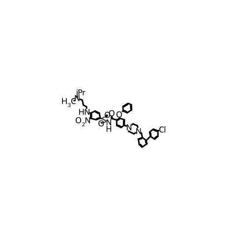 CC(C)N(C)CCCNc1ccc(S(=O)(=O)NC(=O)c2ccc(N3CCN(Cc4ccccc4-c4ccc(Cl)cc4)CC3)cc2Oc2ccccc2)cc1[N+](=O)[O-]